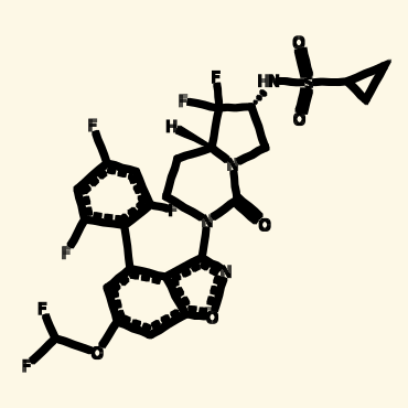 O=C1N(c2noc3cc(OC(F)F)cc(-c4c(F)cc(F)cc4F)c23)CC[C@H]2N1C[C@@H](NS(=O)(=O)C1CC1)C2(F)F